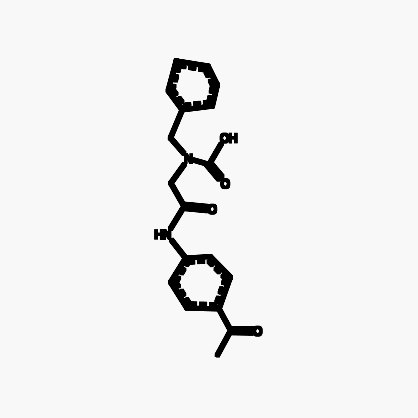 CC(=O)c1ccc(NC(=O)CN(Cc2ccccc2)C(=O)O)cc1